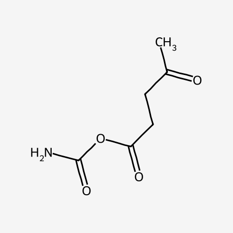 CC(=O)CCC(=O)OC(N)=O